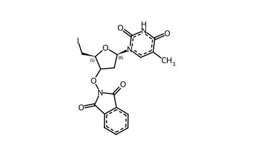 Cc1cn([C@H]2CC(ON3C(=O)c4ccccc4C3=O)[C@@H](CI)O2)c(=O)[nH]c1=O